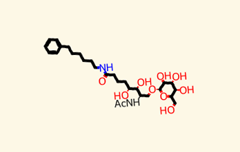 CC(=O)N[C@@H](CO[C@H]1OC(CO)[C@H](O)[C@H](O)C1O)[C@H](O)[C@H](O)CCCC(=O)NCCCCCCc1ccccc1